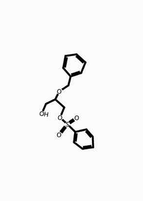 O=S(=O)(OCC(CO)OCc1ccccc1)c1ccccc1